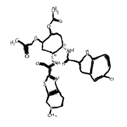 CC(=O)OC1C[C@H](NC(=O)C2Cc3cc(Cl)ccc3N2)[C@H](NC(=O)c2nc3c(s2)CN(C)CC3)CC1OC(C)=O